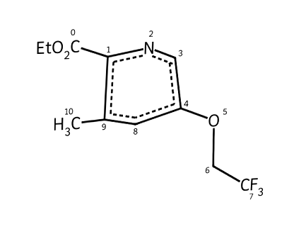 CCOC(=O)c1ncc(OCC(F)(F)F)cc1C